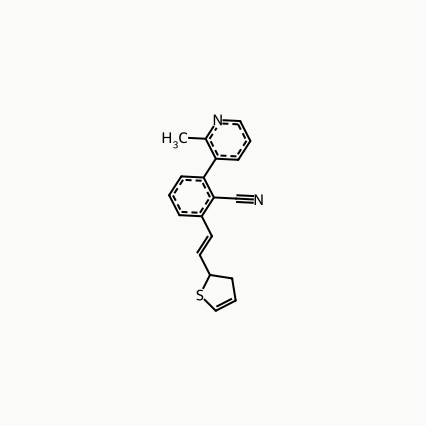 Cc1ncccc1-c1cccc(C=CC2CC=CS2)c1C#N